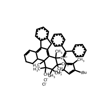 CC1=[C]([Zr+2](=[C](c2ccccc2)c2ccccc2)[C]2(C)C3=C4Cc5ccccc5C4=C4C=CCCC4C3(C)C(C)(C)C(C)(C)C2(C)C)C(C)C=C1C(C)(C)C.[Cl-].[Cl-]